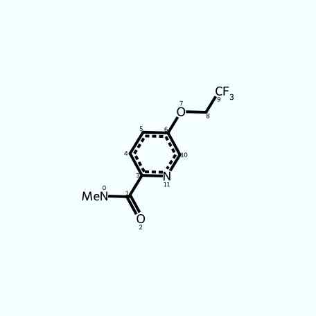 CNC(=O)c1ccc(OCC(F)(F)F)cn1